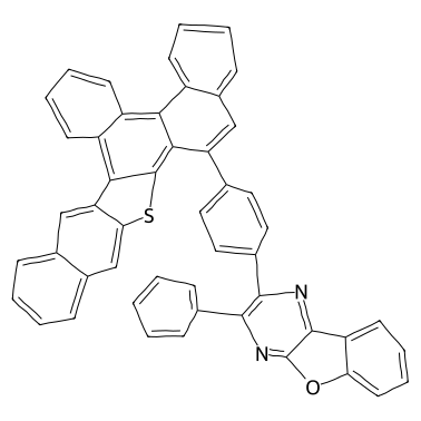 c1ccc(-c2nc3oc4ccccc4c3nc2-c2ccc(-c3cc4ccccc4c4c5ccccc5c5c6cc7ccccc7cc6sc5c34)cc2)cc1